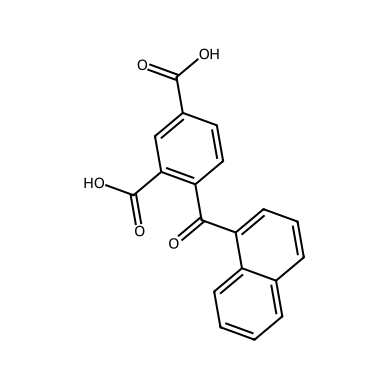 O=C(O)c1ccc(C(=O)c2cccc3ccccc23)c(C(=O)O)c1